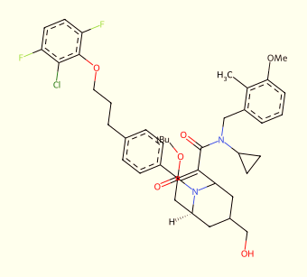 COc1cccc(CN(C(=O)C2=C(c3ccc(CCCOc4c(F)ccc(F)c4Cl)cc3)C[C@@H]3CC(CO)CC2N3C(=O)OC(C)(C)C)C2CC2)c1C